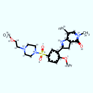 CCCOc1ccc(S(=O)(=O)N2CCN(CCO[N+](=O)[O-])CC2)cc1C1=Nc2c(CCC)cn(C)c(=O)c2C1